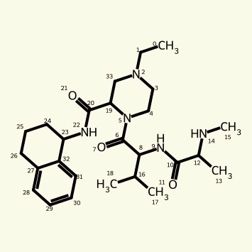 CCN1CCN(C(=O)C(NC(=O)C(C)NC)C(C)C)C(C(=O)NC2CCCc3ccccc32)C1